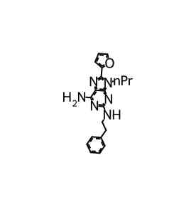 CCCn1c(-c2ccco2)nc2c(N)nc(NCCc3ccccc3)nc21